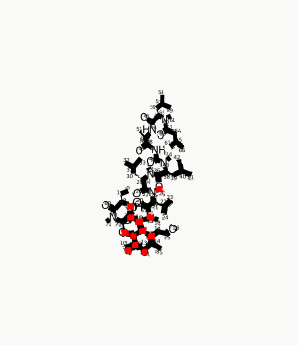 CC[C@H](NC(=O)[C@H]([C@H](OC(C)=O)[C@H](C)CC=O)N(C)C(=O)[C@H](C(C)C)N(C)C(=O)[C@H](CC(C)C)N(C)C(=O)[C@H](CC(C)C)N(C)C(=O)NC(=O)[C@@H](C)NC(=O)[C@H](CC(C)C)N(C)C(=O)CC(C)C)C(=O)N(C)[C@H](COC(C)=O)C(=O)N(C)[C@@H](CC(C)C)C(=O)NC